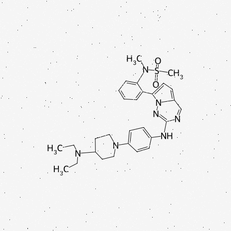 CCN(CC)C1CCN(c2ccc(Nc3ncc4ccc(-c5ccccc5N(C)S(C)(=O)=O)n4n3)cc2)CC1